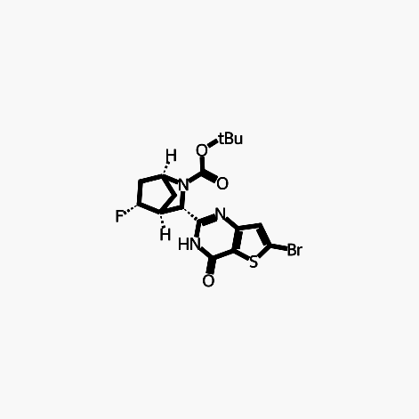 CC(C)(C)OC(=O)N1[C@H]2C[C@H]([C@H](F)C2)[C@H]1c1nc2cc(Br)sc2c(=O)[nH]1